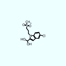 CS(=O)(=O)CCCn1c(C(O)O)cc2cc(Cl)ccc21